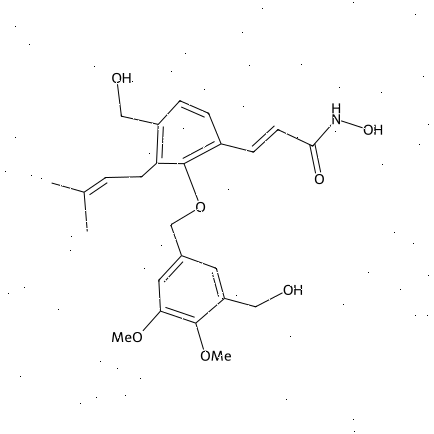 COc1cc(COc2c(/C=C/C(=O)NO)ccc(CO)c2CC=C(C)C)cc(CO)c1OC